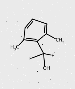 Cc1cccc(C)c1C(O)(F)F